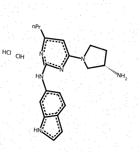 CCCc1cc(N2CC[C@H](N)C2)nc(Nc2ccc3cc[nH]c3c2)n1.Cl.Cl